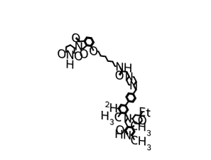 [2H]c1cc(-c2ccc(CN3CCN(CC(=O)NCCCCCCOc4cccc5c4C(=O)N(C4CCC(=O)NC4=O)C5=O)CC3)cc2)cc(N(Cc2c(C)cc(C)[nH]c2=O)C2CCOC(CC)C2)c1C